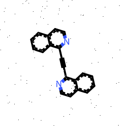 C(#Cc1nccc2ccccc12)c1nccc2ccccc12